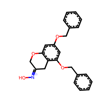 O/N=C1\COc2cc(OCc3ccccc3)cc(OCc3ccccc3)c2C1